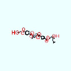 CCCC(C)(CCOC(=O)c1ccc(C(=O)OCCC(C)(O)CC2CC2)cc1)OC(=O)c1ccc(C(=O)OCCO)cc1